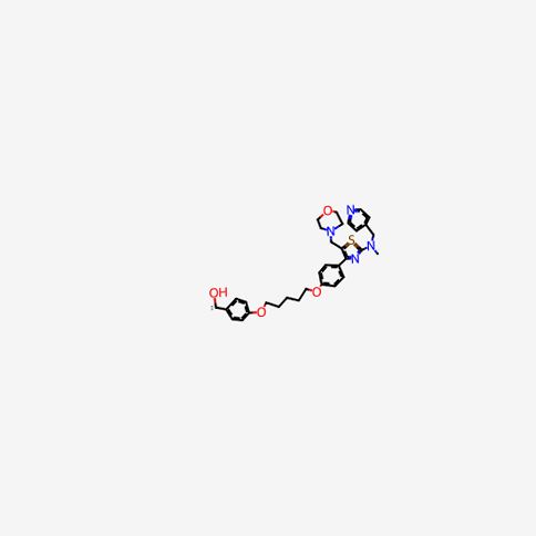 CN(Cc1ccncc1)c1nc(-c2ccc(OCCCCCOc3ccc([C]O)cc3)cc2)c(CN2CCOCC2)s1